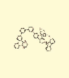 CC1(C)c2cc(-c3cccc(-c4cccc(-c5ccc6c7ccccc7c7nccnc7c6c5)c4)c3)ccc2-c2ccc(-n3c4ccccc4c4ccccc43)cc21